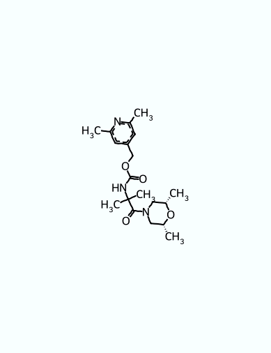 Cc1cc(COC(=O)NC(C)(C)C(=O)N2C[C@@H](C)O[C@@H](C)C2)cc(C)n1